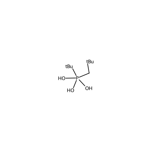 CC(C)(C)CP(O)(O)(O)C(C)(C)C